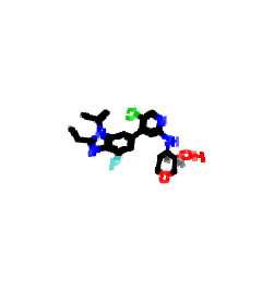 CCc1nc2c(F)cc(-c3cc(N[C@@H]4CCOC[C@H]4O)ncc3Cl)cc2n1C(C)C